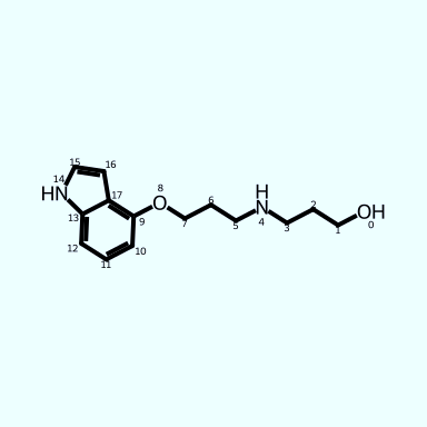 OCCCNCCCOc1cccc2[nH]ccc12